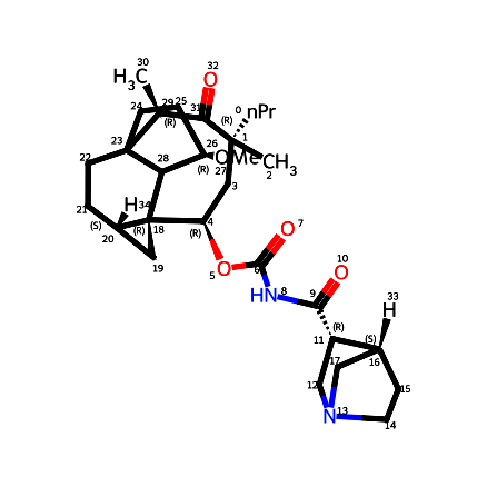 CCC[C@]1(C)C[C@@H](OC(=O)NC(=O)[C@H]2CN3CC[C@@H]2C3)[C@]23C[C@@H]2CCC2(CC[C@@H](OC)C23)[C@@H](C)C1=O